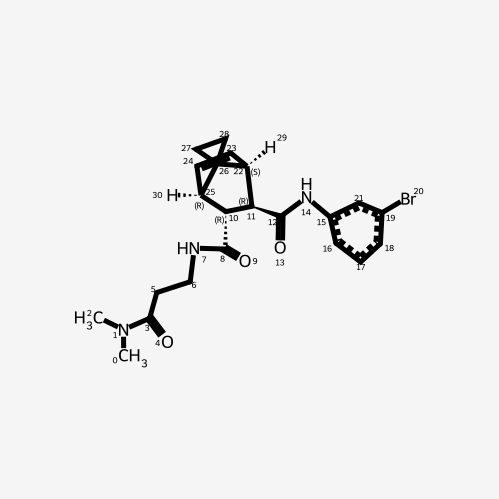 CN(C)C(=O)CCNC(=O)[C@H]1[C@H](C(=O)Nc2cccc(Br)c2)[C@@H]2C=C[C@H]1C21CC1